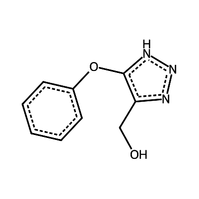 OCc1nn[nH]c1Oc1ccccc1